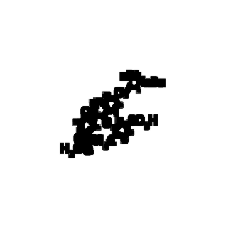 CCCCN(CCCC)CCCOc1ccc(C(=O)c2c(C(C)C)oc3ccc(NS(C)(=O)=O)cc23)cc1.Cc1ccc(S(=O)(=O)O)cc1